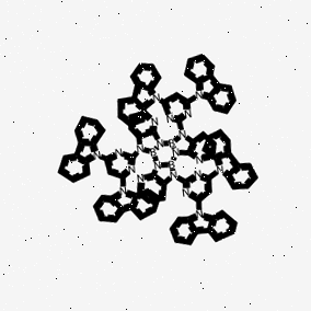 c1cnc2c(c1)N(c1nc(-n3c4ccccc4c4ccccc43)cc(-n3c4ccccc4c4ccccc43)n1)B1N2B2N(B3N1c1ncccc1N3c1nc(-n3c4ccccc4c4ccccc43)cc(-n3c4ccccc4c4ccccc43)n1)c1ncccc1N2c1nc(-n2c3ccccc3c3ccccc32)cc(-n2c3ccccc3c3ccccc32)n1